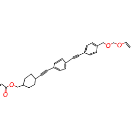 C=COCOCc1ccc(C#Cc2ccc(C#CC3CCC(COC(=O)C=C)CC3)cc2)cc1